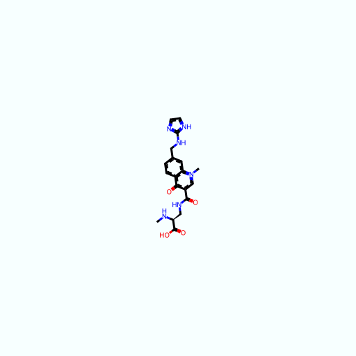 CN[C@@H](CNC(=O)c1cn(C)c2cc(CNc3ncc[nH]3)ccc2c1=O)C(=O)O